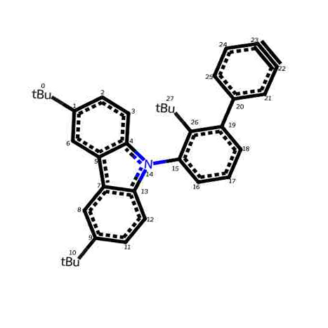 CC(C)(C)c1ccc2c(c1)c1cc(C(C)(C)C)ccc1n2-c1cccc(-c2cc#ccc2)c1C(C)(C)C